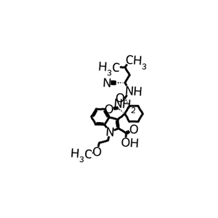 COCCn1c(C(=O)O)c([C@]2(C(N)=O)CCCC[C@H]2C(=O)N[C@H](C#N)CC(C)C)c2ccccc21